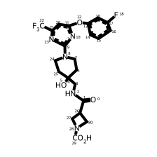 O=C(NCC1(O)CCN(c2nc(Oc3cccc(F)c3)cc(C(F)(F)F)n2)CC1)C1CN(C(=O)O)C1